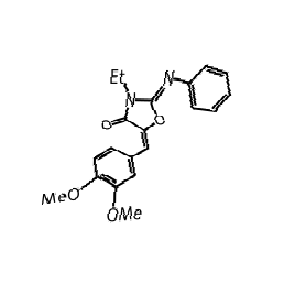 CCN1C(=O)/C(=C\c2ccc(OC)c(OC)c2)OC1=Nc1ccccc1